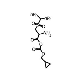 CCCC(CCC)S(=O)(=O)C[C@@H](N)C(=O)OC(=O)OCC1CC1